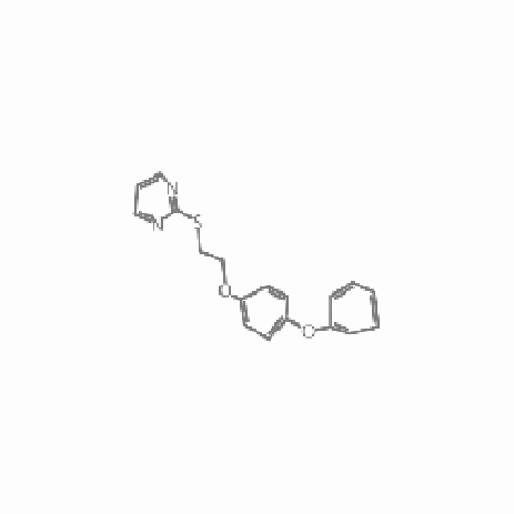 c1ccc(Oc2ccc(OCCSc3ncccn3)cc2)cc1